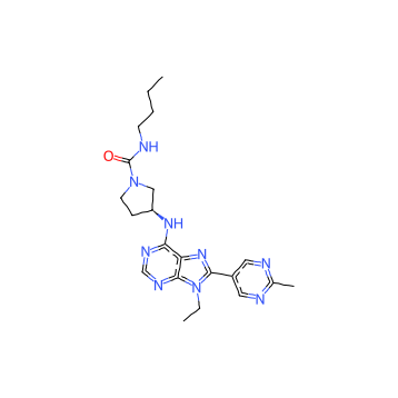 CCCCNC(=O)N1CC[C@H](Nc2ncnc3c2nc(-c2cnc(C)nc2)n3CC)C1